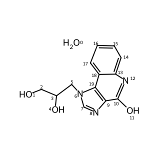 O.OCC(O)Cn1cnc2c(O)nc3ccccc3c21